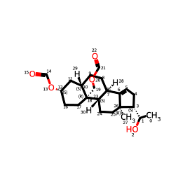 CC(O)[C@H]1CC=C2[C@@H]3CC[C@H]4C[C@@H](OC=O)CC[C@]4(COC=O)[C@H]3CC[C@@]21C